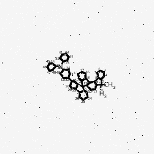 CC1(C)c2ccccc2-c2c1ccc1c2-c2ccccc2C12c1ccccc1-c1ccc(-c3ccc(N(c4ccccc4)c4ccccc4)cc3)cc12